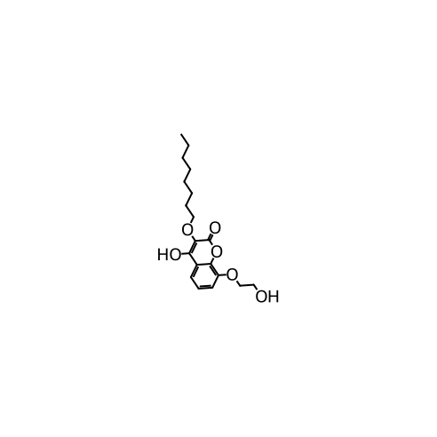 CCCCCCCCOc1c(O)c2cccc(OCCO)c2oc1=O